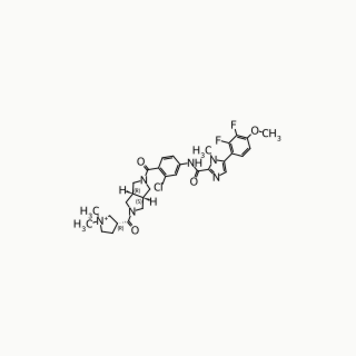 COc1ccc(-c2cnc(C(=O)Nc3ccc(C(=O)N4C[C@@H]5CN(C(=O)[C@@H]6CC[N+](C)(C)C6)C[C@@H]5C4)c(Cl)c3)n2C)c(F)c1F